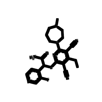 CCc1c(C#N)c(SC(C(N)=O)c2ccncc2F)nc(N2CCCN(C)CC2)c1C#N